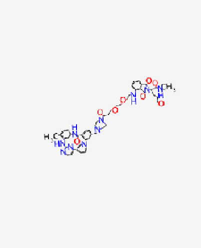 CNC(=O)C(CCC=O)N1C(=O)c2cccc(NCCOCCOCCC(=O)N3CCN(Cc4ccc(C(=O)Nc5ccc(C)c(Nc6nccc(-c7cccnc7)n6)c5)cc4)CC3)c2C1=O